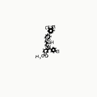 CC(=O)N1CCc2c(c(-c3ccc(Cl)cc3)nn2CC(O)CN2CCN(c3ccc(Cl)c(Cl)c3)CC2)C1